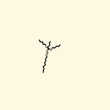 CCCCCCCCCOCOC(OCCCCC)=C(CCC)OCCCCC